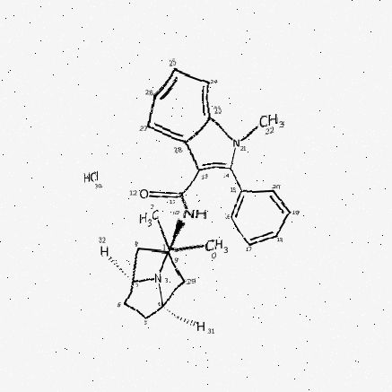 CC(C)N1[C@@H]2CC[C@H]1C[C@@H](NC(=O)c1c(-c3ccccc3)n(C)c3ccccc13)C2.Cl